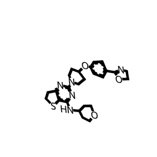 c1cc(C2=NCCO2)ccc1OC1CCN(c2nc3c(c(NC4CCOCC4)n2)SCC3)CC1